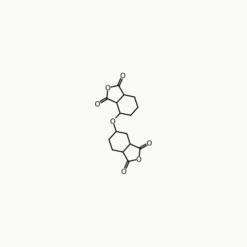 O=C1OC(=O)C2CC(OC3CCCC4C(=O)OC(=O)C34)CCC12